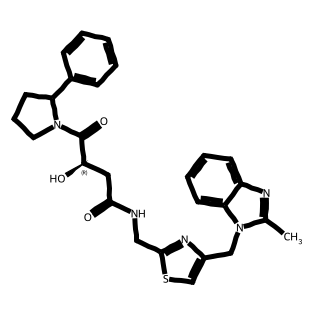 Cc1nc2ccccc2n1Cc1csc(CNC(=O)C[C@@H](O)C(=O)N2CCCC2c2ccccc2)n1